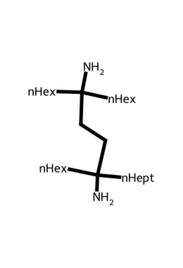 CCCCCCCC(N)(CCCCCC)CCC(N)(CCCCCC)CCCCCC